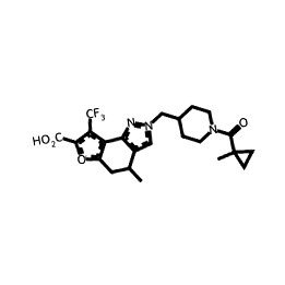 CC1Cc2oc(C(=O)O)c(C(F)(F)F)c2-c2nn(CC3CCN(C(=O)C4(C)CC4)CC3)cc21